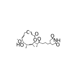 COC1/C=C/CC/C=C/C(=O)O[C@H]([C@H](C)C(=O)CCCC2CC(=O)NC(=O)C2)/C(C)=C\[C@@H](C)[C@@H]1O